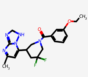 CCOc1cccc(C(=O)N2CC(C3=CC(C)=NC4=NCNN34)CC(F)(F)C2)c1